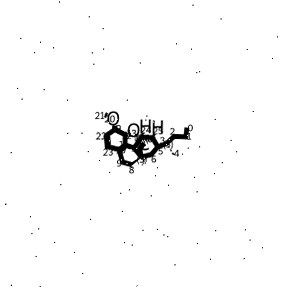 CCC[C@H](C)C1C[C@]23CCC4=C5C(O[C@H](C52)[C@H]1CC3)C(OC)C=C4